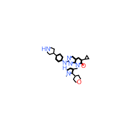 Cn1ccc(Cn2c(=O)c(C3CC3)cc3cnc(Nc4ccc(C5CCNCC5)cc4)nc32)c1C1CCOCC1